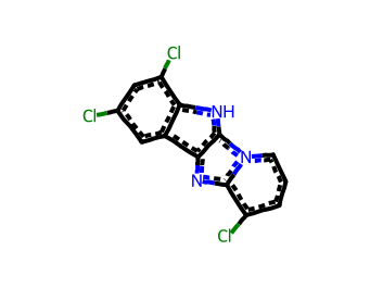 Clc1cc(Cl)c2[nH]c3c(nc4c(Cl)cccn43)c2c1